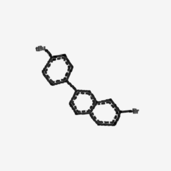 CC(C)(C)c1ccc(-c2ccc3ccc(Br)cc3c2)cc1